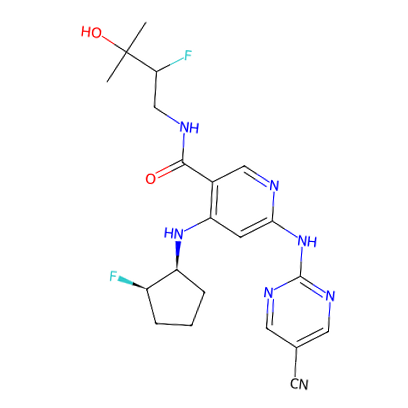 CC(C)(O)C(F)CNC(=O)c1cnc(Nc2ncc(C#N)cn2)cc1N[C@H]1CCC[C@H]1F